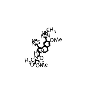 COC(=O)[C@](C)(CC(F)(F)F)NC(=O)c1cc(-c2nncs2)c2n1CCc1cc(OC)c(-c3nnn(C)n3)cc1-2